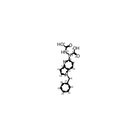 O=C(O)NN(C(=O)O)c1ccc2c(ccn2Cc2ccccc2)n1